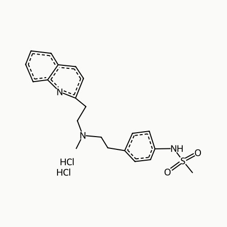 CN(CCc1ccc(NS(C)(=O)=O)cc1)CCc1ccc2ccccc2n1.Cl.Cl